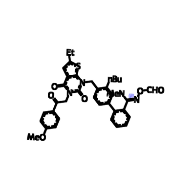 CCCCc1cc(-c2ccccc2/C(=N/OC=O)NC)ccc1Cn1c(=O)n(CC(=O)c2ccc(OC)cc2)c(=O)c2cc(CC)sc21